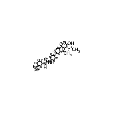 CCCC(C(=O)O)N1C(=O)c2ccc(-c3ccc(NC(=O)Nc4cccc(C(F)(F)F)c4)cc3)cc2[C@@H]1C